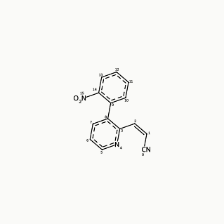 N#C/C=C\c1ncccc1-c1ccccc1[N+](=O)[O-]